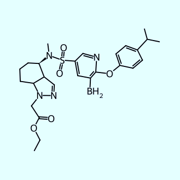 Bc1cc(S(=O)(=O)N(C)[C@@H]2CCCC3C2C=NN3CC(=O)OCC)cnc1Oc1ccc(C(C)C)cc1